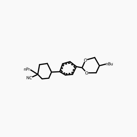 CCCCC1COC(c2ccc(C3CCC(C#N)(CCC)CC3)cc2)OC1